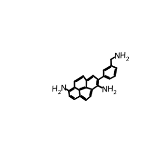 NCc1cccc(-c2cc3ccc4c(N)ccc5ccc(c2N)c3c54)c1